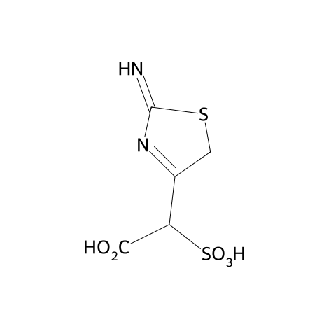 N=C1N=C(C(C(=O)O)S(=O)(=O)O)CS1